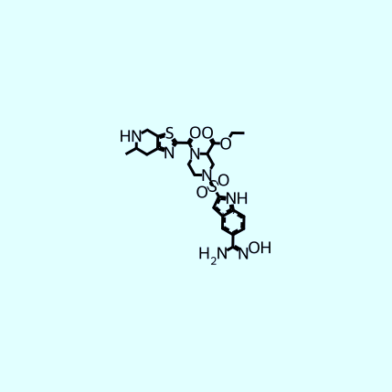 CCOC(=O)C1CN(S(=O)(=O)c2cc3cc(/C(N)=N\O)ccc3[nH]2)CCN1C(=O)c1nc2c(s1)CNC(C)C2